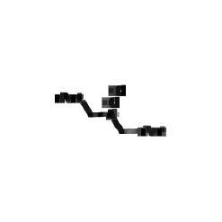 CCCCC[CH2][Al][CH2]CCCCC.Cl.Cl